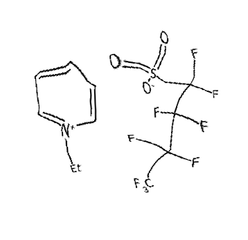 CC[n+]1ccccc1.O=S(=O)([O-])C(F)(F)C(F)(F)C(F)(F)C(F)(F)F